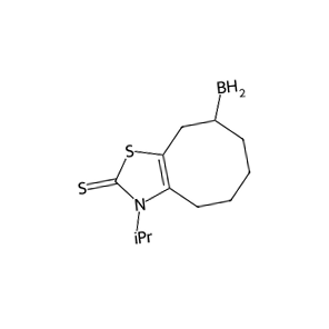 BC1CCCCc2c(sc(=S)n2C(C)C)C1